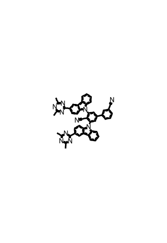 Cc1nc(C)nc(-c2ccc3c(c2)c2ccccc2n3-c2cc(-c3cccc(C#N)c3)cc(-n3c4ccccc4c4cc(-c5nc(C)nc(C)n5)ccc43)c2C#N)n1